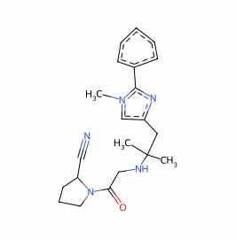 Cn1cc(CC(C)(C)NCC(=O)N2CCCC2C#N)nc1-c1ccccc1